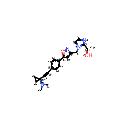 C[C@H](O)c1nccn1Cc1cc(-c2ccc(C#CC3(N(C)C)CC3)cc2)on1